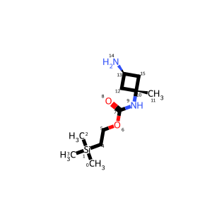 C[Si](C)(C)CCOC(=O)N[C@]1(C)C[C@@H](N)C1